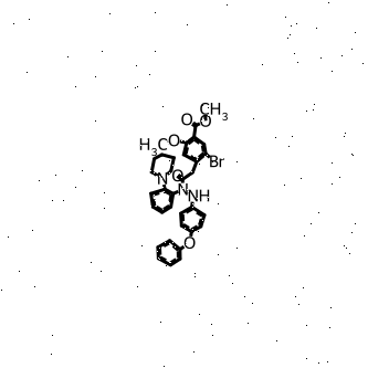 COC(=O)c1cc(Br)c(CC(=O)N(Nc2ccc(Oc3ccccc3)cc2)c2ccccc2N2CCCCC2)cc1OC